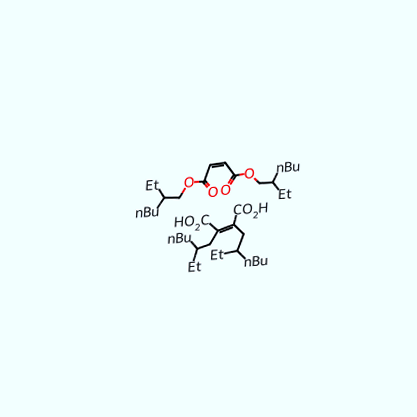 CCCCC(CC)C/C(C(=O)O)=C(\CC(CC)CCCC)C(=O)O.CCCCC(CC)COC(=O)/C=C\C(=O)OCC(CC)CCCC